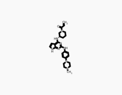 C=CC(=O)N1CCC[C@H](Nc2nc(Nc3ccc(N4CCN(C)CC4)cc3)nc3[nH]ccc23)C1